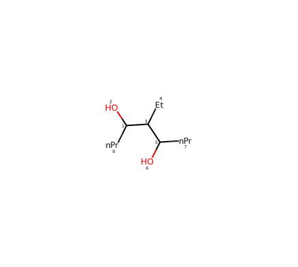 CCCC(O)C(CC)C(O)CCC